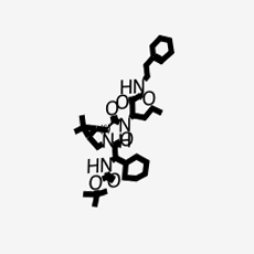 CCCC(NC(=O)[C@@H]1C2C(CN1C(=O)C(NC(=O)OC(C)(C)C)C1CCCCC1)C2(C)C)C(=O)C(=O)NCCC1=CCCCC1